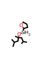 CC(C)CC(C)(CC(C)C)O[SiH2]C1CCCO1